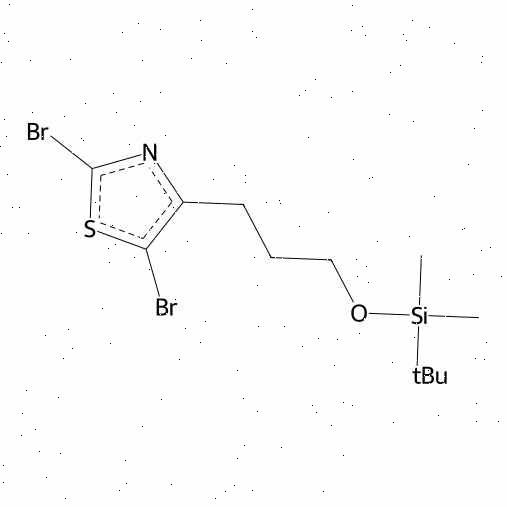 CC(C)(C)[Si](C)(C)OCCCc1nc(Br)sc1Br